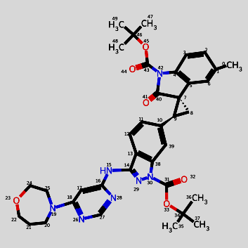 Cc1ccc2c(c1)[C@]1(C[C@H]1c1ccc3c(Nc4cc(N5CCCOCC5)ncn4)nn(C(=O)OC(C)(C)C)c3c1)C(=O)N2C(=O)OC(C)(C)C